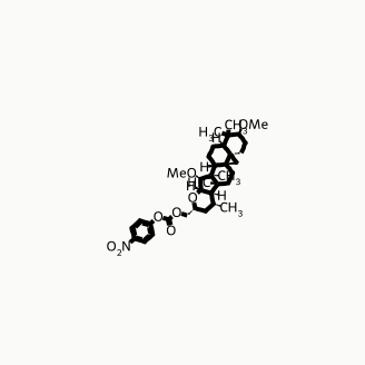 CO[C@H]1CC[C@]23C[C@]24CC[C@]2(C)[C@@H]5[C@H](O[C@@H](COC(=O)Oc6ccc([N+](=O)[O-])cc6)C[C@H]5C)[C@H](OC)[C@@]2(C)[C@@H]4CC[C@H]3C1(C)C